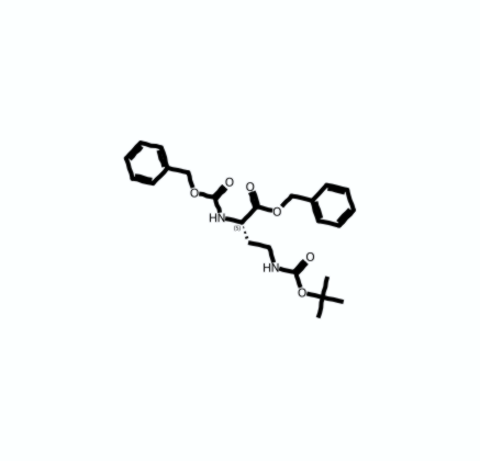 CC(C)(C)OC(=O)NCC[C@H](NC(=O)OCc1ccccc1)C(=O)OCc1ccccc1